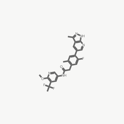 COc1ncc(NC(=O)Cc2cc(F)c(-c3cnc4[nH]nc(C)c4c3)cc2C)cc1C(C)(F)F